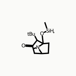 CN1C2CCC1(O[SiH](C)C)C(C(C)(C)C)C(=O)C2